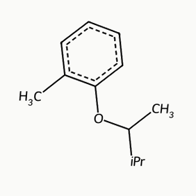 Cc1ccccc1OC(C)C(C)C